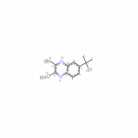 CCC(C)(C)c1ccc2nc(OC)c(C(C)(C)C)nc2c1